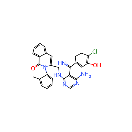 Cc1ccccc1-n1c(CNc2ncnc(N)c2C(=N)C2=CC(O)=C(Cl)CC2)cc2ccccc2c1=O